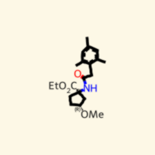 CCOC(=O)[C@@]1(NC(=O)Cc2c(C)cc(C)cc2C)CC[C@@H](OC)C1